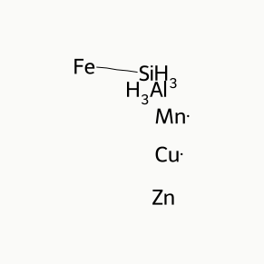 [AlH3].[Cu].[Mn].[SiH3][Fe].[Zn]